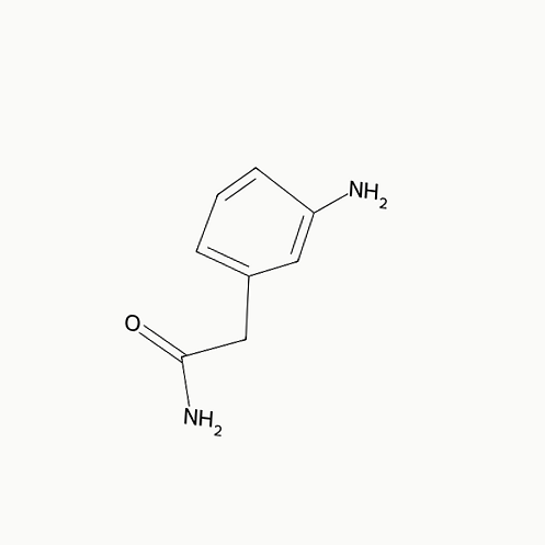 NC(=O)Cc1cccc(N)c1